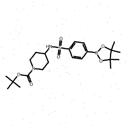 CC(C)(C)OC(=O)N1CCC(NS(=O)(=O)c2ccc(B3OC(C)(C)C(C)(C)O3)cc2)CC1